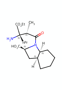 CCC[C@@](N)(C(=O)OCC)[C@H](C)C(=O)N1[C@H](C(=O)O)C[C@@H]2CCCC[C@@H]21